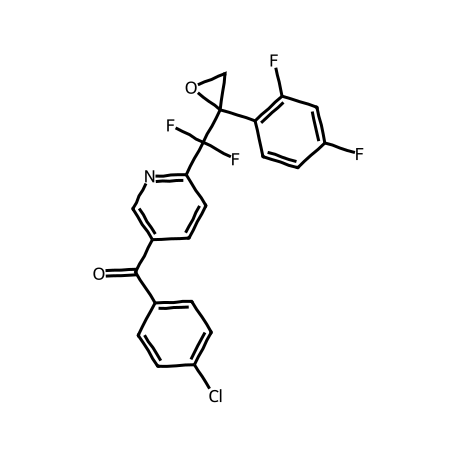 O=C(c1ccc(Cl)cc1)c1ccc(C(F)(F)C2(c3ccc(F)cc3F)CO2)nc1